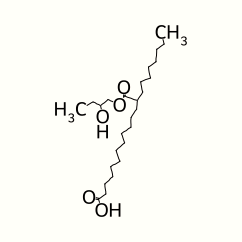 CCCCCCCCC(CCCCCCCCCCCC(=O)O)C(=O)OCC(O)CC